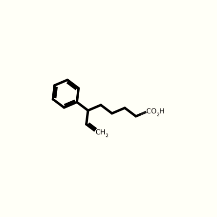 C=CC(CCCCC(=O)O)c1ccccc1